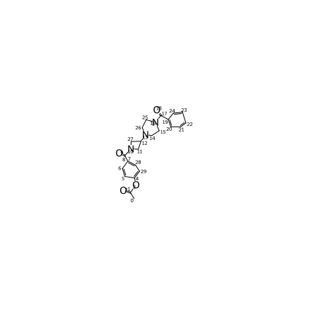 CC(=O)Oc1ccc(C(=O)N2CC(N3CCN(C(=O)c4ccccc4)CC3)C2)cc1